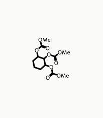 COC(=O)OC1CCCC(OC(=O)OC)C1OC(=O)OC